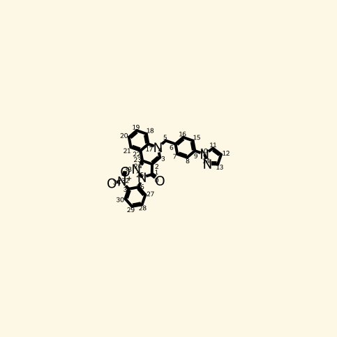 O=c1c2cn(Cc3ccc(-n4cccn4)cc3)c3ccccc3c-2nn1-c1ccccc1[N+](=O)[O-]